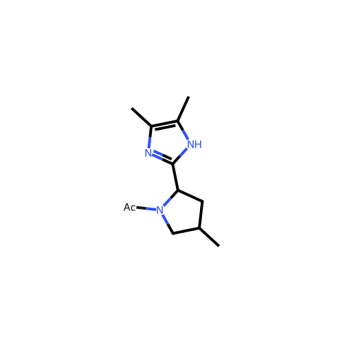 CC(=O)N1CC(C)CC1c1nc(C)c(C)[nH]1